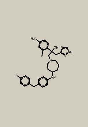 Cc1ccc(C(O)(Cc2nc[nH]n2)CN2CCCC(Nc3ccc(Cc4ccc(F)cc4)cc3)CC2)c(F)c1